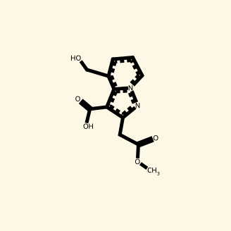 COC(=O)Cc1nn2cccc(CO)c2c1C(=O)O